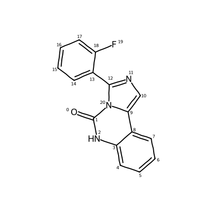 O=c1[nH]c2ccccc2c2cnc(-c3ccccc3F)n12